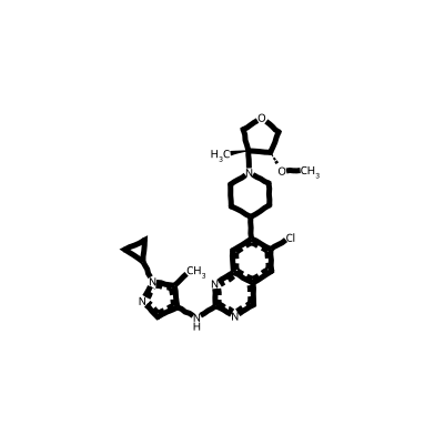 CO[C@H]1COC[C@@]1(C)N1CCC(c2cc3nc(Nc4cnn(C5CC5)c4C)ncc3cc2Cl)CC1